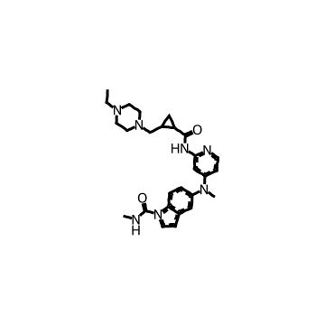 CCN1CCN(CC2CC2C(=O)Nc2cc(N(C)c3ccc4c(ccn4C(=O)NC)c3)ccn2)CC1